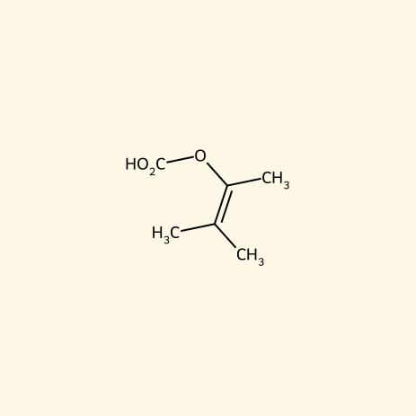 CC(C)=C(C)OC(=O)O